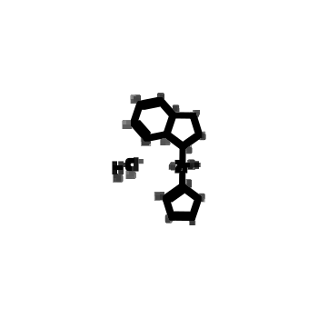 C1=CC[C]([Zr+2][CH]2CCC3C=CC=CC32)=C1.[Cl-].[H-]